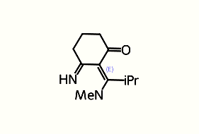 CN/C(=C1\C(=N)CCCC1=O)C(C)C